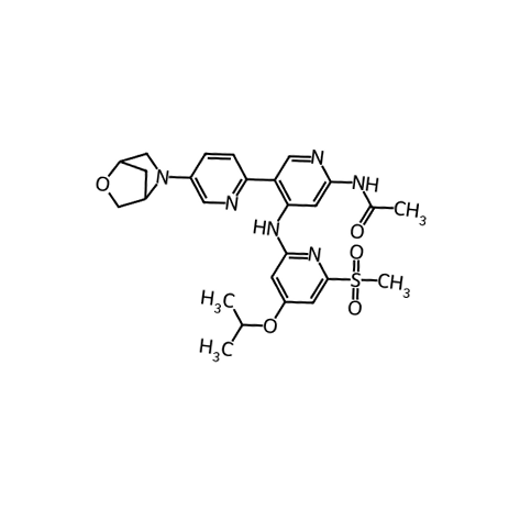 CC(=O)Nc1cc(Nc2cc(OC(C)C)cc(S(C)(=O)=O)n2)c(-c2ccc(N3CC4CC3CO4)cn2)cn1